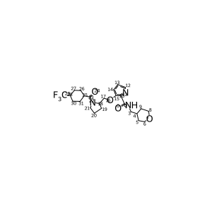 O=C(NCC1CCOCC1)c1ncccc1OCC1CCCN1C(=O)C1CCC(C(F)(F)F)CC1